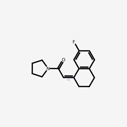 O=C(/C=C1/CCCc2ccc(F)cc21)N1CCCC1